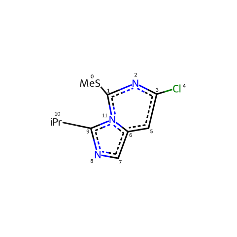 CSc1nc(Cl)cc2cnc(C(C)C)n12